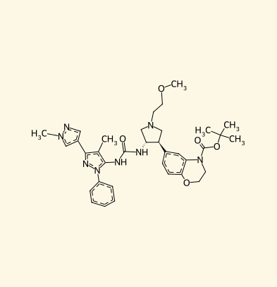 COCCN1C[C@@H](NC(=O)Nc2c(C)c(-c3cnn(C)c3)nn2-c2ccccc2)[C@H](c2ccc3c(c2)N(C(=O)OC(C)(C)C)CCO3)C1